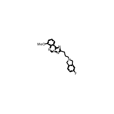 COc1cccc2c1ncn1nc(CCCN3Cc4ccc(F)cc4C3)nc21